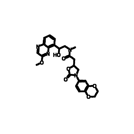 COc1cnc2cccc(C(O)CN(C)C(=O)CC3CN(c4ccc5c(c4)OCCO5)C(=O)O3)c2n1